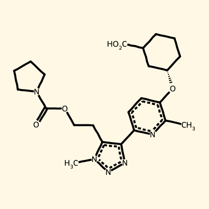 Cc1nc(-c2nnn(C)c2CCOC(=O)N2CCCC2)ccc1O[C@H]1CCCC(C(=O)O)C1